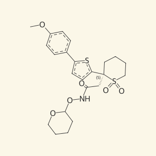 COc1ccc(-c2ccc([C@@]3(CC(=O)NOC4CCCCO4)CCCCS3(=O)=O)s2)cc1